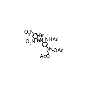 CC(=O)Nc1cc(N(CCOC(C)=O)CCOC(C)=O)ccc1N=Nc1c(Br)cc([N+](=O)[O-])cc1[N+](=O)[O-]